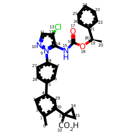 Cc1ccc(-c2ccc(-n3ncc(Cl)c3NC(=O)O[C@H](C)c3ccccc3)cc2)cc1C1(C(=O)O)CC1